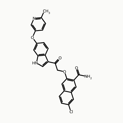 Cc1ccc(Oc2ccc3c(C(=O)COc4cc5ccc(Cl)cc5cc4C(N)=O)c[nH]c3c2)cn1